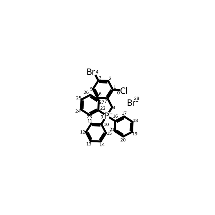 Clc1cc(Br)ccc1C[P+](c1ccccc1)(c1ccccc1)c1ccccc1.[Br-]